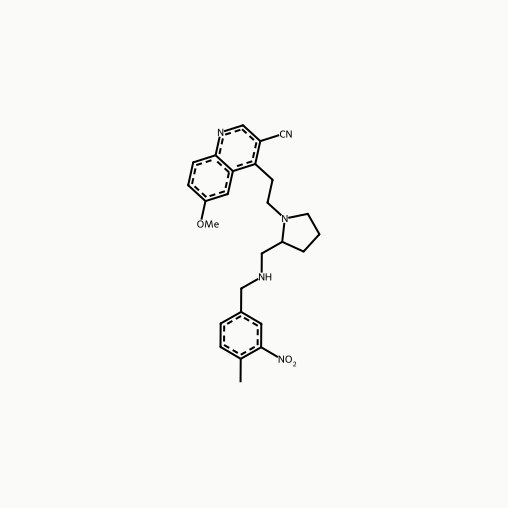 COc1ccc2ncc(C#N)c(CCN3CCCC3CNCc3ccc(C)c([N+](=O)[O-])c3)c2c1